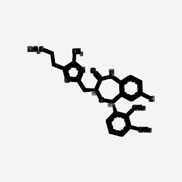 CCOC(=O)CCc1oc(C[C@@H]2O[C@@H](c3cccc(OC)c3OC)c3cc(Cl)ccc3NC2=O)nc1C